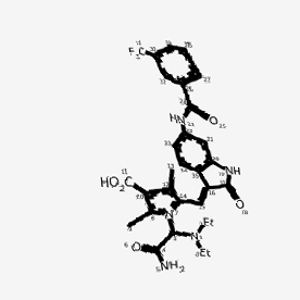 CCN(CC)C(C(N)=O)n1c(C)c(C(=O)O)c(C)c1C=C1C(=O)Nc2cc(NC(=O)c3cccc(C(F)(F)F)c3)ccc21